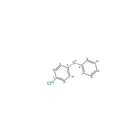 Clc1ccc(Sc2c[c]ccc2)cc1